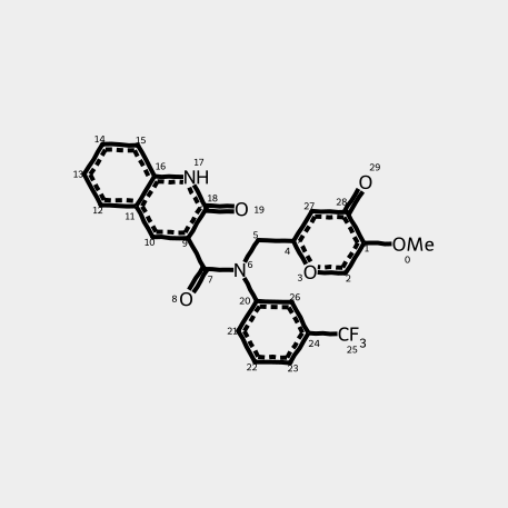 COc1coc(CN(C(=O)c2cc3ccccc3[nH]c2=O)c2cccc(C(F)(F)F)c2)cc1=O